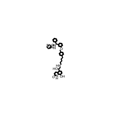 O=c1ccc2c([C@@H](O)CNCCCCCc3ccc(COc4cccc([C@@H](NO[C@H]5CN6CCC5CC6)c5ccccc5)c4)cc3)ccc(O)c2[nH]1